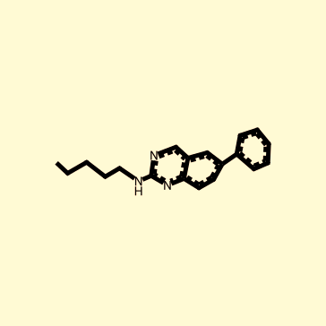 CCCCCNc1ncc2cc(-c3ccccc3)ccc2n1